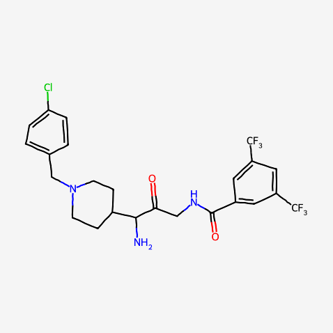 NC(C(=O)CNC(=O)c1cc(C(F)(F)F)cc(C(F)(F)F)c1)C1CCN(Cc2ccc(Cl)cc2)CC1